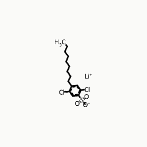 CCCCCCCCCc1cc(Cl)c(S(=O)(=O)[O-])cc1Cl.[Li+]